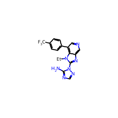 CCn1c(-n2ncnc2N)nc2cncc(-c3ccc(C(F)(F)F)cc3)c21